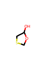 OC1CSCO1